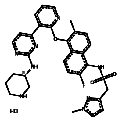 Cc1ccc2c(NS(=O)(=O)Cc3ccn(C)n3)c(F)ccc2c1Oc1ncccc1-c1ccnc(N[C@H]2CCCNC2)n1.Cl